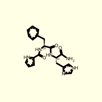 NC(=O)[C@H](Cc1c[nH]cn1)NC(=O)[C@H](Cc1ccccc1)NC(=O)c1ccc[nH]1